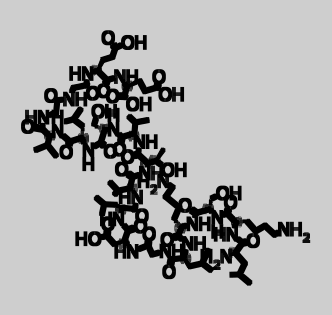 CC(C)C[C@H](NC(=O)[C@H](CCCCN)NC(=O)[C@H](CO)NC(=O)[C@H](CCCCN)NC(=O)[C@@H](N)CC(C)C)C(=O)NCC(=O)N[C@@H](CC(=O)O)C(=O)N[C@@H](CC(C)C)C(=O)N[C@H](C(=O)N[C@H](C(=O)N[C@H](C(=O)N[C@@H](CO)C(=O)N[C@@H](CC(C)C)C(=O)N[C@H](C(=O)NCC(=O)NCC(=O)N[C@@H](CCC(=O)O)C(=O)N[C@@H](CCC(=O)O)C(=O)O)C(C)C)C(C)C)[C@@H](C)O)C(C)C